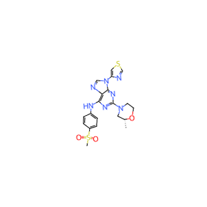 C[C@@H]1CN(c2nc(Nc3ccc(S(C)(=O)=O)cc3)c3ncn(-c4cscn4)c3n2)CCO1